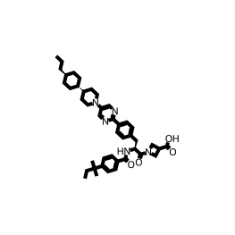 CCC[C@H]1CC[C@H](C2CCN(c3cnc(-c4ccc(C[C@H](NC(=O)c5ccc(C(C)(C)CC)cc5)C(=O)N5CC(C(=O)O)C5)cc4)nc3)CC2)CC1